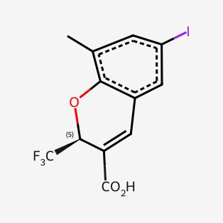 Cc1cc(I)cc2c1O[C@H](C(F)(F)F)C(C(=O)O)=C2